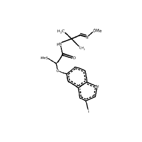 CON=CC(C)(C)NC(=O)C(Oc1ccc2ncc(I)cc2c1)SC